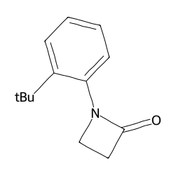 CC(C)(C)c1ccccc1N1CCC1=O